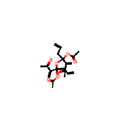 C=CCC(OC(C)=O)(OC(CC=C)(OC(C)=O)C(=C)C(C)=O)C(=C)C(C)=O